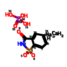 O=C1NS(=O)(=O)c2ccccc21.O=P(O)(O)O.[CaH2].[NaH]